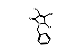 CCC1C(C(C)=O)=C(O)C(=O)N1Cc1ccccc1